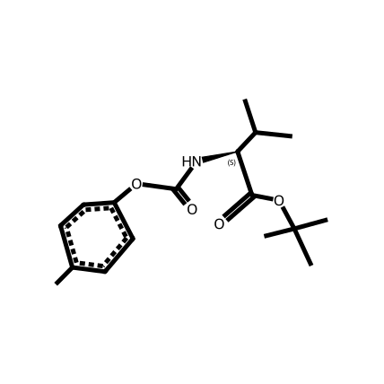 Cc1ccc(OC(=O)N[C@H](C(=O)OC(C)(C)C)C(C)C)cc1